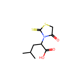 CC(C)CC(C(=O)O)N1C(=O)CSC1=S